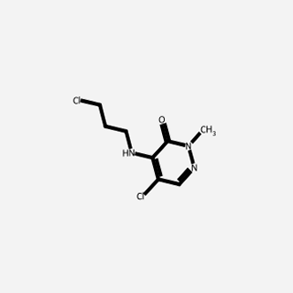 Cn1ncc(Cl)c(NCCCCl)c1=O